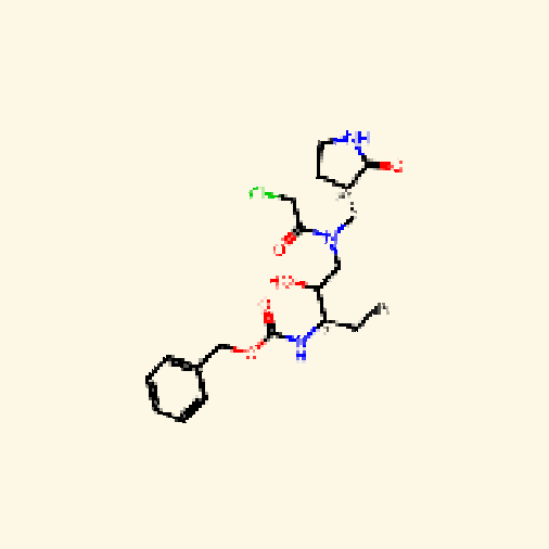 CC(C)C[C@@H](NC(=O)OCc1ccccc1)C(O)CN(C[C@@H]1CCNC1=O)C(=O)CCl